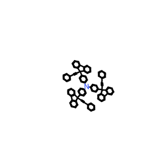 C(#CC1(c2ccc(N(c3ccc(C4(C#Cc5ccccc5)c5ccccc5-c5ccccc54)cc3)c3ccc(C4(C#Cc5ccccc5)c5ccccc5-c5ccccc54)cc3)cc2)c2ccccc2-c2ccccc21)c1ccccc1